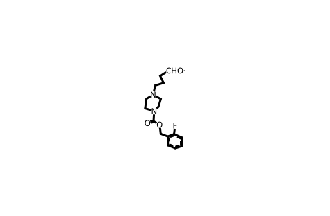 O=[C]CCCN1CCN(C(=O)OCc2ccccc2F)CC1